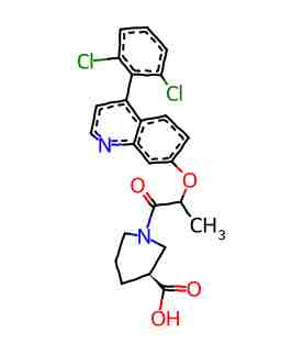 CC(Oc1ccc2c(-c3c(Cl)cccc3Cl)ccnc2c1)C(=O)N1CCC[C@H](C(=O)O)C1